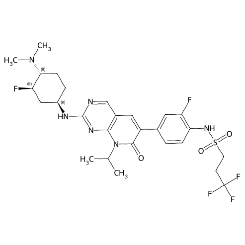 CC(C)n1c(=O)c(-c2ccc(NS(=O)(=O)CCC(F)(F)F)c(F)c2)cc2cnc(N[C@@H]3CC[C@@H](N(C)C)[C@H](F)C3)nc21